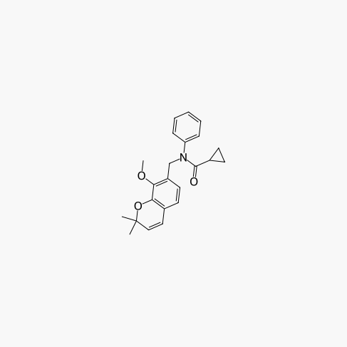 COc1c(CN(C(=O)C2CC2)c2ccccc2)ccc2c1OC(C)(C)C=C2